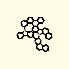 c1ccc(-n2c3ccccc3c3cc(-c4nc5ccc6ccccc6c5nc4-n4c5ccc6c7ccccc7c7ccccc7c6c5c5ccc6ccccc6c54)ccc32)cc1